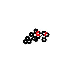 c1ccc(-c2ccccc2N(c2ccc3c(c2)-c2ccccc2-c2ccccc2C32c3ccccc3-c3c2cc2ccc4cccc5ccc3c2c45)c2ccccc2-c2ccccc2)cc1